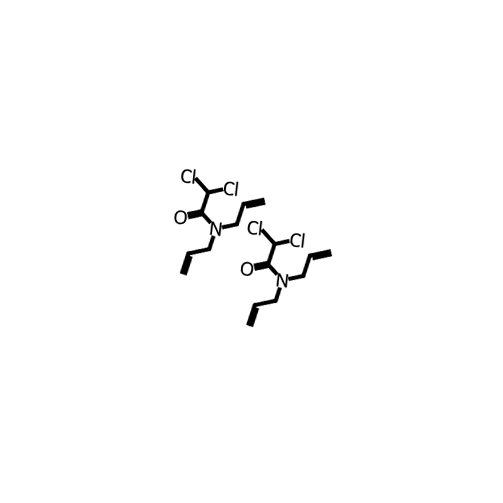 C=CCN(CC=C)C(=O)C(Cl)Cl.C=CCN(CC=C)C(=O)C(Cl)Cl